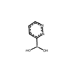 OB(O)c1cccnn1